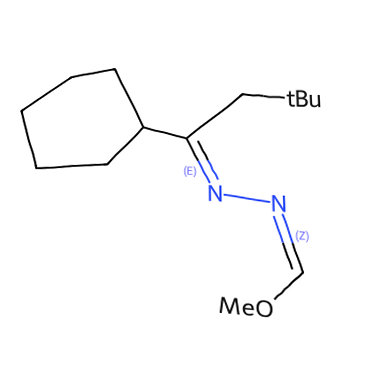 CO/C=N\N=C(/CC(C)(C)C)C1CCCCC1